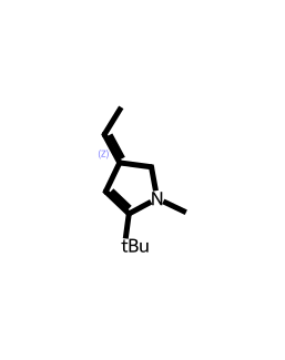 C/C=C1/C=C(C(C)(C)C)N(C)C1